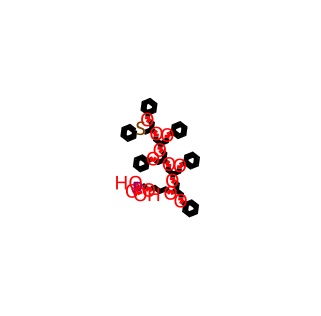 O=P(O)(O)COCCCOC(COc1ccccc1)COC(COc1ccccc1)COC(COc1ccccc1)COC(COc1ccccc1)COC(COc1ccccc1)CSc1ccccc1